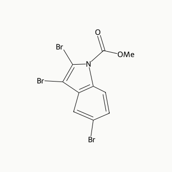 COC(=O)n1c(Br)c(Br)c2cc(Br)ccc21